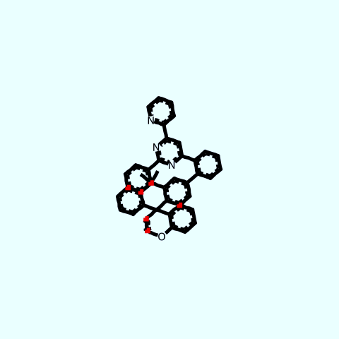 CC1(C)c2ccccc2C2(c3ccccc3Oc3ccccc32)c2ccc(-c3ccccc3-c3cc(-c4ccccn4)nc(-c4ccccc4)n3)cc21